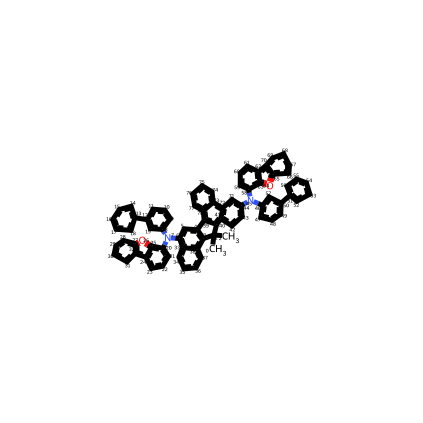 CC1(C)c2c(cc(N(c3cccc(-c4ccccc4)c3)c3cccc4c3oc3ccccc34)c3ccccc23)-c2c1c1ccc(N(c3cccc(-c4ccccc4)c3)c3cccc4c3oc3ccccc34)cc1c1ccccc21